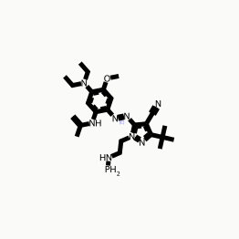 C=C(C)Nc1cc(N(CC)CC)c(OC)cc1/N=N/c1c(C#N)c(C(C)(C)C)nn1CCNP